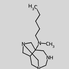 CCCCCN(C)C12CNCN3CC1CN(C3)C2